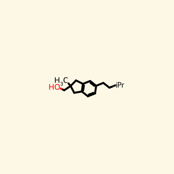 CC(C)CCc1ccc2c(c1)CC(C)(CO)C2